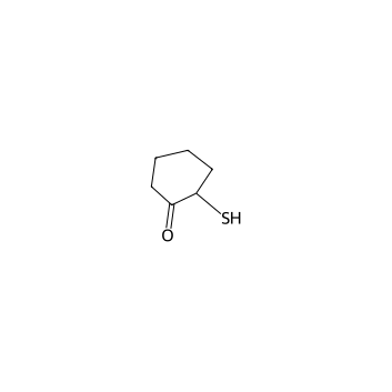 O=C1CCCCC1S